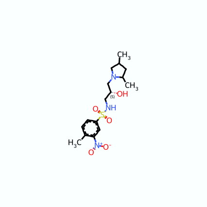 Cc1ccc(S(=O)(=O)NC[C@@H](O)CN2CC(C)CC2C)cc1[N+](=O)[O-]